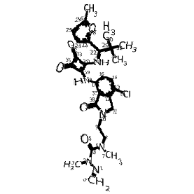 C=NN(C)C(=O)N(C)CCN1Cc2c(Cl)ccc(Nc3c(NC(c4ccc(C)o4)C(C)(C)C)c(=O)c3=O)c2C1=O